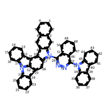 c1ccc2cc3c(cc2c1)c1c2c4ccccc4n4c5ccccc5c(cc1n3-c1nnc(-n3c5ccccc5c5ccccc53)c3ccccc13)c24